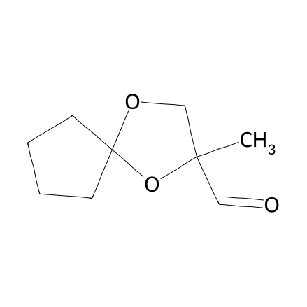 CC1(C=O)COC2(CCCC2)O1